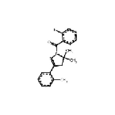 Cc1ccccc1C1=NN(C(=O)c2ccncc2F)C(C)(C)C1